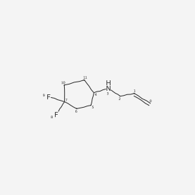 C=CCNC1CCC(F)(F)CC1